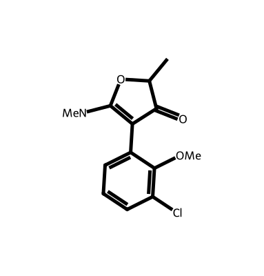 CNC1=C(c2cccc(Cl)c2OC)C(=O)C(C)O1